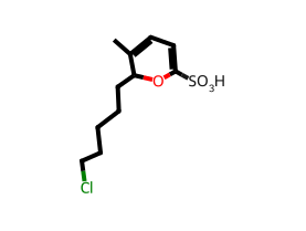 CC1=CC=C(S(=O)(=O)O)OC1CCCCCCl